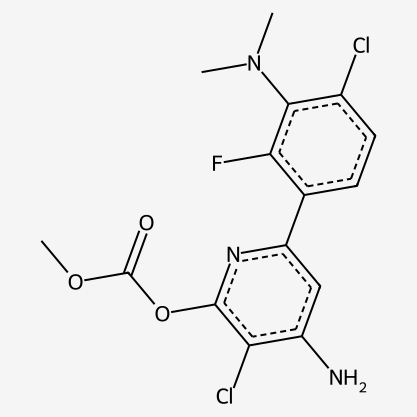 COC(=O)Oc1nc(-c2ccc(Cl)c(N(C)C)c2F)cc(N)c1Cl